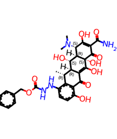 C[C@H]1c2c(NNC(=O)OCc3ccccc3)ccc(O)c2C(=O)C2=C(O)[C@]3(O)C(=O)C(C(N)=O)=C(O)[C@@H](N(C)C)[C@@H]3[C@@H](O)[C@@H]21